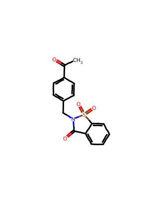 CC(=O)c1ccc(CN2C(=O)c3ccccc3S2(=O)=O)cc1